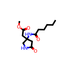 CCCCCC(=O)NC1(CC(=O)OC)CNC(=O)C1